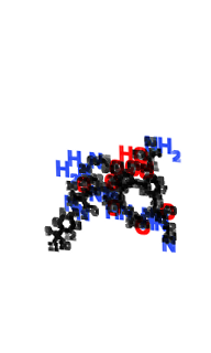 Cc1nc(-c2ccc(C(C)(C)C)cc2)nc(C)c1C(=O)NC(CCN)C(=O)N(C)C1C(=O)NC(C)C(=O)NC(C(=O)NCC#N)Cc2ccc(OCC(O)CN)c(c2)-c2cc1cc(OCCN)c2O